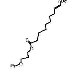 CCCCCCCC/C=C/CCCCCCCC(=O)OCCCOC(C)C